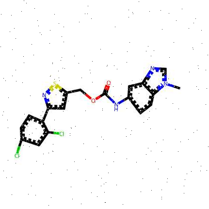 Cn1cnc2cc(NC(=O)OCc3cc(-c4ccc(Cl)cc4Cl)ns3)ccc21